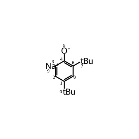 CC(C)(C)c1ccc([O-])c(C(C)(C)C)c1.[Na+]